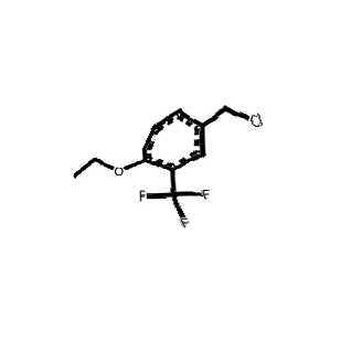 CCOc1ccc(CCl)cc1C(F)(F)F